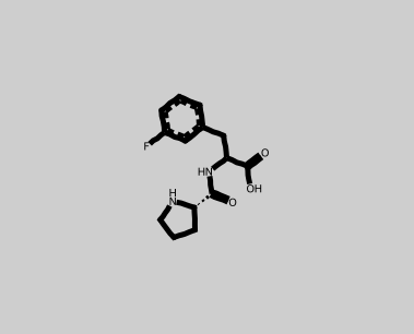 O=C(O)C(Cc1cccc(F)c1)NC(=O)[C@@H]1CCCN1